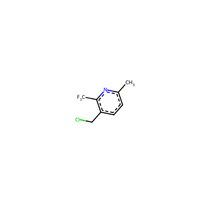 Cc1ccc(CCl)c(C(F)(F)F)n1